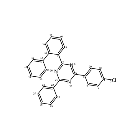 Clc1ccc(-c2nc(C3=C=C=CC=C3c3ccccc3)nc(-c3ccccc3)n2)cc1